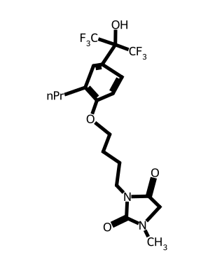 CCCc1cc(C(O)(C(F)(F)F)C(F)(F)F)ccc1OCCCCN1C(=O)CN(C)C1=O